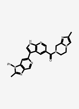 Cc1cn2c(n1)CN(C(=O)c1cnc3[nH]cc(-c4cc5c(cn4)nc(C)n5C(C)C)c3c1)CC2